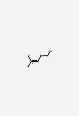 [Li][CH2]CC=C(C)C